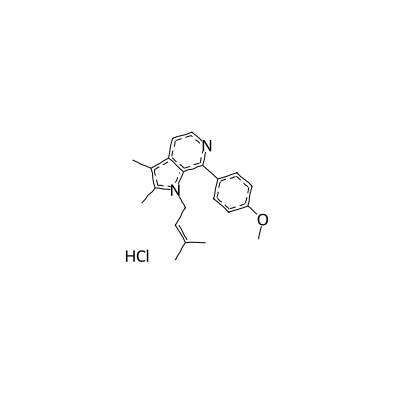 COc1ccc(-c2nccc3c(C)c(C)n(CC=C(C)C)c23)cc1.Cl